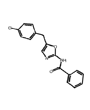 O=C(Nc1ncc(Cc2ccc(Cl)cc2)o1)c1ccccc1